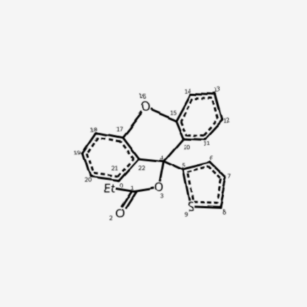 CCC(=O)OC1(c2cccs2)c2ccccc2Oc2ccccc21